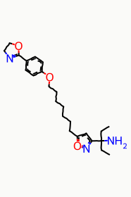 CCC(N)(CC)c1cc(CCCCCCCOc2ccc(C3=NCCO3)cc2)on1